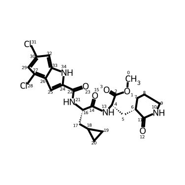 COC(=O)[C@H](C[C@@H]1CCCNC1=O)NC(=O)[C@H](CC1CC1)NC(=O)c1cc2c(Cl)cc(Cl)cc2[nH]1